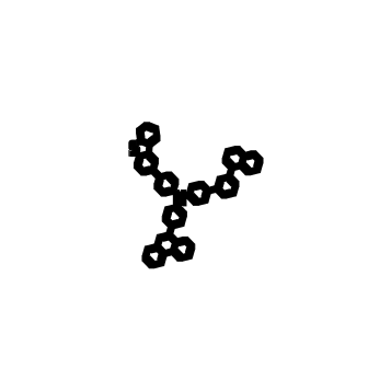 c1cc(-c2ccc(N(c3ccc(-c4ccc5sc6ccccc6c5c4)cc3)c3ccc(-c4cc5ccccc5c5ccccc45)cc3)cc2)cc(-c2cccc3ccccc23)c1